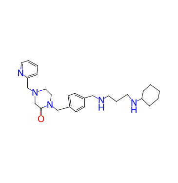 O=C1CN(Cc2ccccn2)CCN1Cc1ccc(CNCCCNC2CCCCC2)cc1